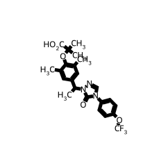 Cc1cc(C(C)n2ncn(-c3ccc(OC(F)(F)F)cc3)c2=O)cc(C)c1OC(C)(C)C(=O)O